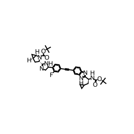 CC(C)(C)OC(=O)N[C@@H](CC1CC1)c1nc2ccc(C#Cc3ccc(C4CN=C([C@@H]5C[C@H]6C[C@H]6N5C(=O)OC(C)(C)C)N4)c(F)c3)cc2[nH]1